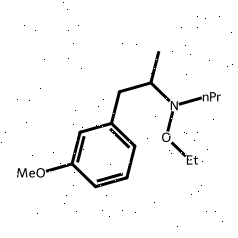 CCCN(OCC)C(C)Cc1cccc(OC)c1